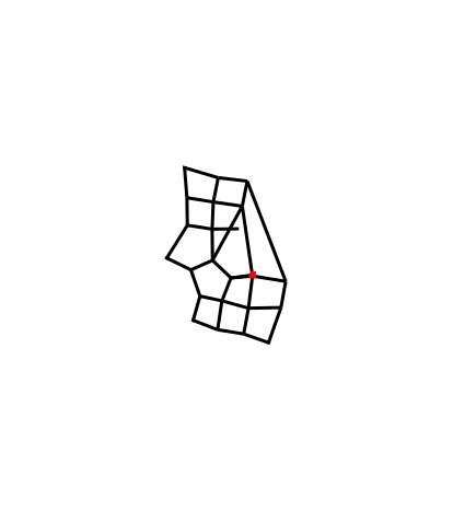 CC12C3CC4C5CC6C7CC8C9C%10C%11CC3C%111C%101C42C2(C)C65C78C921